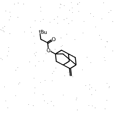 C=C1C2CC3CC1CC(OC(=O)CC(C)(C)C)(C3)C2